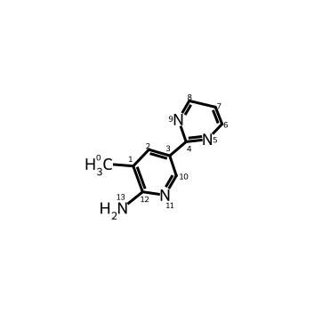 Cc1cc(-c2ncccn2)cnc1N